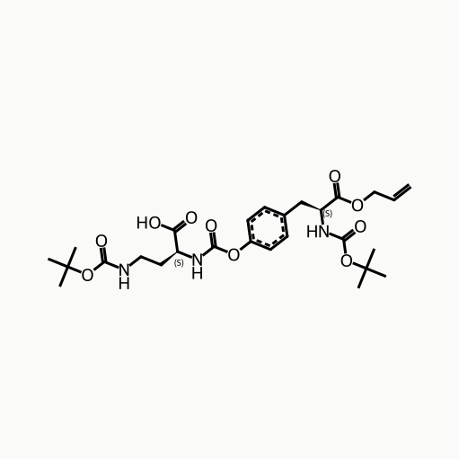 C=CCOC(=O)[C@H](Cc1ccc(OC(=O)N[C@@H](CCNC(=O)OC(C)(C)C)C(=O)O)cc1)NC(=O)OC(C)(C)C